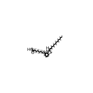 CCCCCCCCCCCCC(=S)Nc1ccccc1OCCCCCCC(=O)O